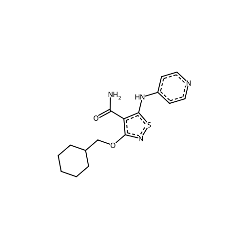 NC(=O)c1c(OCC2CCCCC2)nsc1Nc1ccncc1